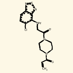 C=CC(=O)N1CCN(C(=O)CNc2c(Cl)ccc3nsnc23)CC1